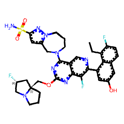 CCc1c(F)ccc2cc(O)cc(-c3ncc4c(N5CCCn6nc(S(N)(=O)=O)cc6C5)nc(OC[C@@]56CCCN5C[C@H](F)C6)nc4c3F)c12